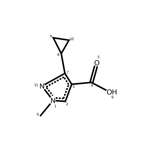 Cn1cc(C(=O)O)c(C2CC2)n1